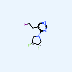 F[C@H]1CN(c2ncncc2CCI)C[C@@H]1F